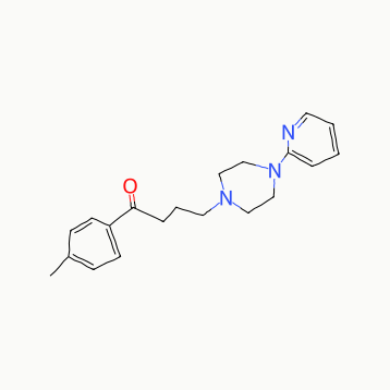 Cc1ccc(C(=O)CCCN2CCN(c3ccccn3)CC2)cc1